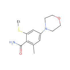 CCSc1cc(N2CCOCC2)cc(C)c1C(N)=O